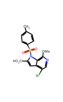 COc1ncc(Br)c2cc(C(=O)O)n(S(=O)(=O)c3ccc(C)cc3)c12